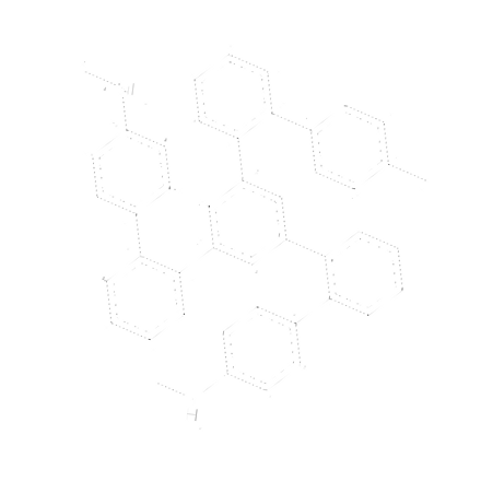 C[SiH2]c1ccc(-c2ccccc2-c2cc(-c3ccccc3-c3ccc(C)cc3)cc(-c3ccccc3-c3ccc([SiH2]C)cc3)c2)cc1